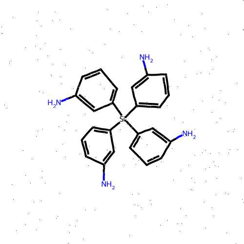 Nc1cccc([Si](c2cccc(N)c2)(c2cccc(N)c2)c2cccc(N)c2)c1